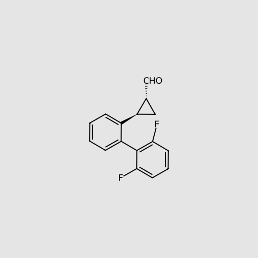 O=C[C@@H]1C[C@H]1c1ccccc1-c1c(F)cccc1F